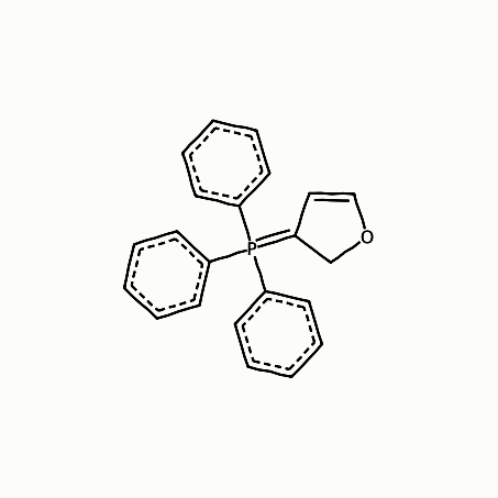 C1=CC(=P(c2ccccc2)(c2ccccc2)c2ccccc2)CO1